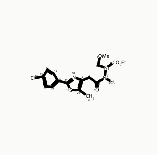 CCOC(=O)N(COC)N(CC)C(=O)Cc1nc(-c2ccc(Cl)cc2)sc1C